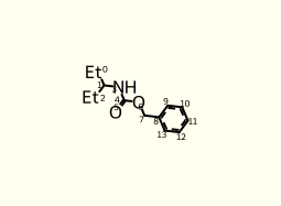 CCC(CC)NC(=O)OCc1ccccc1